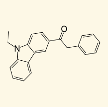 CCn1c2ccccc2c2cc(C(=O)Cc3ccccc3)ccc21